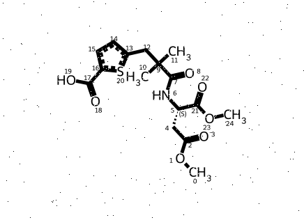 COC(=O)C[C@H](NC(=O)C(C)(C)Cc1ccc(C(=O)O)s1)C(=O)OC